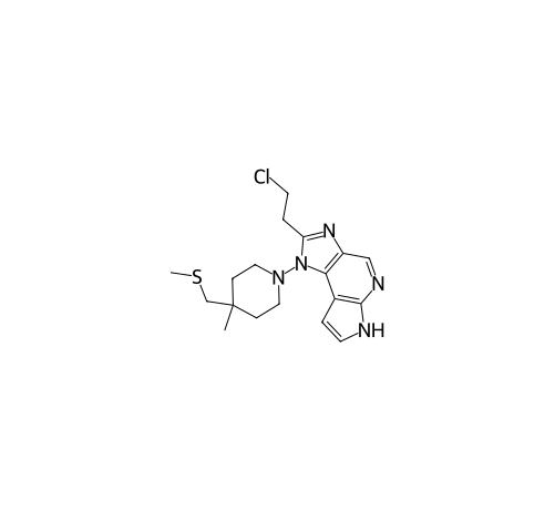 CSCC1(C)CCN(n2c(CCCl)nc3cnc4[nH]ccc4c32)CC1